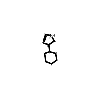 [C]1=NC(C2CCCCC2)CN1